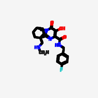 O=C(O)NCC12CCC(CC1)Cn1c2nc(C(=O)NCc2ccc(F)cc2)c(O)c1=O